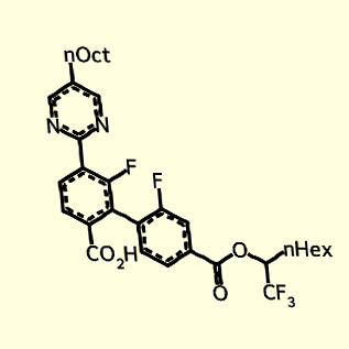 CCCCCCCCc1cnc(-c2ccc(C(=O)O)c(-c3ccc(C(=O)OC(CCCCCC)C(F)(F)F)cc3F)c2F)nc1